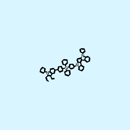 C=Cc1c(/C=C\C)n(-c2ccccc2)c2ccc(-c3ccc([Si](c4ccccc4)(c4ccccc4)c4ccc(-n5c6ccccc6c6c7c8ccccc8n(-c8ccccc8)c7ccc65)cc4)cc3)cc12